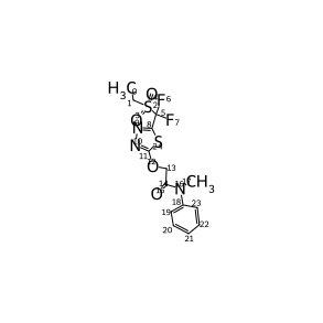 CCS(=O)(=O)C(F)(F)c1nnc(OCC(=O)N(C)c2ccccc2)s1